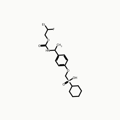 CCC(F)COC(=O)NC(C)c1ccc(OCP(=O)(O)C2CCCCC2)cc1